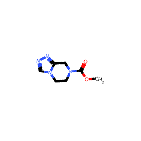 COC(=O)N1CCn2cnnc2C1